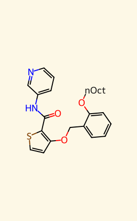 CCCCCCCCOc1ccccc1COc1ccsc1C(=O)Nc1cccnc1